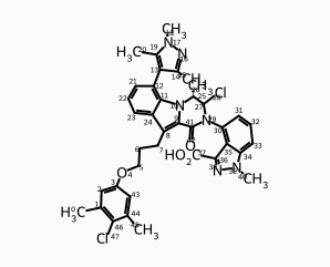 Cc1cc(OCCCc2c3n(c4c(-c5c(C)nn(C)c5C)cccc24)[C@H](C)C(Cl)N(c2cccc4c2c(C(=O)O)nn4C)C3=O)cc(C)c1Cl